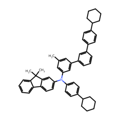 Cc1cc(-c2cccc(-c3ccc(C4CCCCC4)cc3)c2)cc(N(c2ccc(C3CCCCC3)cc2)c2ccc3c(c2)C(C)(C)c2ccccc2-3)c1